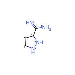 N=C(N)C1CCNN1